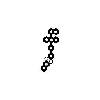 c1ccc2cc3c(cc2c1)Oc1ccc(-c2ccc(-c4c5ccccc5c(-c5cccc6ccccc56)c5ccccc45)cc2)cc1O3